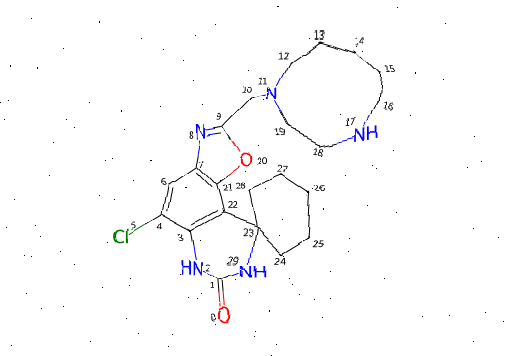 O=C1Nc2c(Cl)cc3nc(CN4CCCCCNCC4)oc3c2C2(CCCCC2)N1